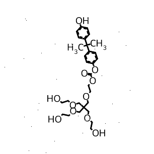 CC(C)(c1ccc(O)cc1)c1ccc(OC(=O)OCCOCC(COCCO)(COCCO)COCCO)cc1